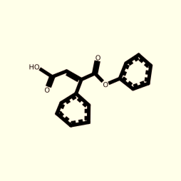 O=C(O)C=C(C(=O)Oc1ccccc1)c1ccccc1